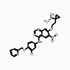 CN(C)C1(CCOc2cc3ncnc(Nc4ccc(OCc5ccccn5)c(Cl)c4)c3cc2[N+](=O)[O-])CC1